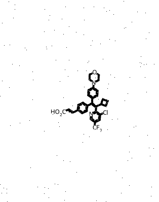 O=C(O)C=Cc1ccc(C(=C(c2ncc(C(F)(F)F)cc2Cl)C2CCC2)c2ccc(N3CCOCC3)cc2)cc1